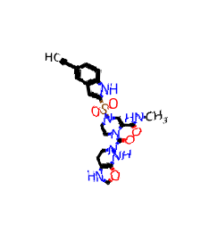 C#Cc1ccc2[nH]c(S(=O)(=O)N3CCN(C(=O)N4CCC5=C(N4)OCN5)C(C(=O)NC)C3)cc2c1